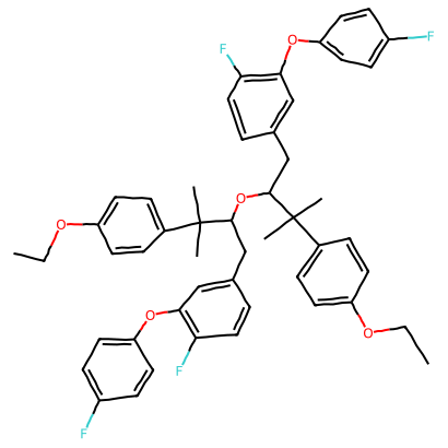 CCOc1ccc(C(C)(C)C(Cc2ccc(F)c(Oc3ccc(F)cc3)c2)OC(Cc2ccc(F)c(Oc3ccc(F)cc3)c2)C(C)(C)c2ccc(OCC)cc2)cc1